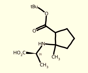 C[C@H](NC1(C)CCCC1C(=O)OC(C)(C)C)C(=O)O